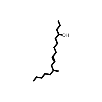 CCCCCC(C)CC=CCCCCC(O)CCC